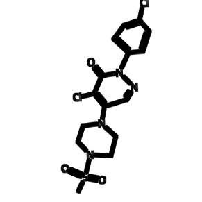 CS(=O)(=O)N1CCN(c2cnn(-c3ccc(Cl)cc3)c(=O)c2Cl)CC1